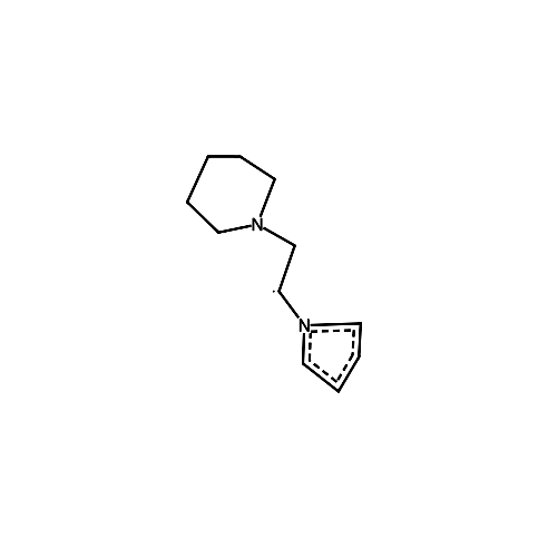 [CH](CN1CCCCC1)n1cccc1